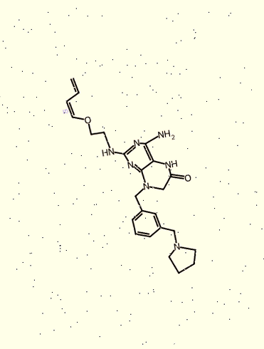 C=C/C=C\OCCNc1nc(N)c2c(n1)N(Cc1cccc(CN3CCCC3)c1)CC(=O)N2